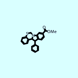 COC(=O)c1ccc2c(c1)N1CSc3ccccc3C1C2c1ccccc1